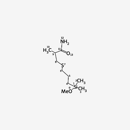 CO[Si](C)(C)CCCSCC(C)C(N)=O